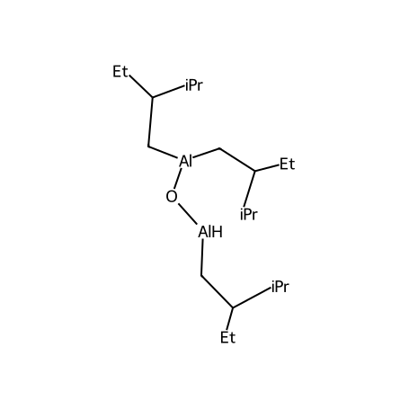 CCC([CH2][AlH][O][Al]([CH2]C(CC)C(C)C)[CH2]C(CC)C(C)C)C(C)C